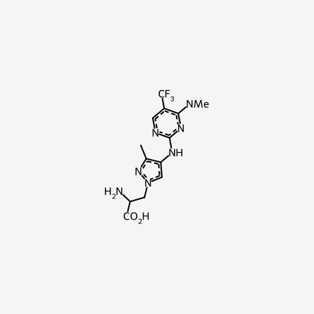 CNc1nc(Nc2cn(CC(N)C(=O)O)nc2C)ncc1C(F)(F)F